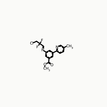 COC(=O)c1cc(N=CC(F)(F)CCl)cc(-c2ccc(C)cn2)c1